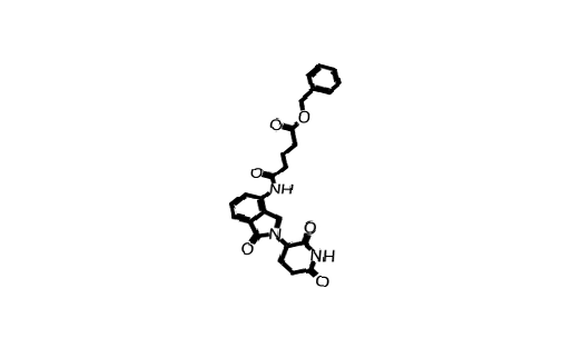 O=C1CCC(N2Cc3c(NC(=O)CCCC(=O)OCc4ccccc4)cccc3C2=O)C(=O)N1